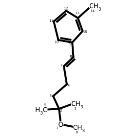 COC(C)(C)CC/C=C/c1cccc(C)c1